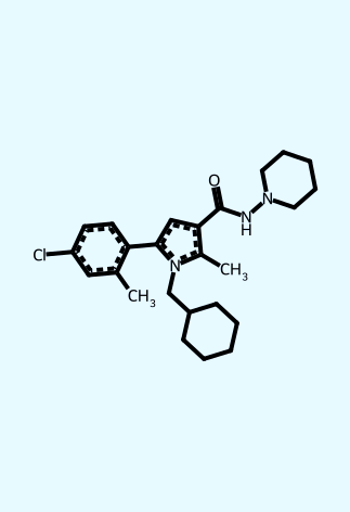 Cc1cc(Cl)ccc1-c1cc(C(=O)NN2CCCCC2)c(C)n1CC1CCCCC1